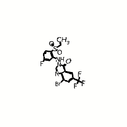 CCS(=O)(=O)c1ccc(F)cc1Nn1cnc2c(Br)cc(C(F)(F)F)cc2c1=O